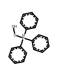 OO[PH](c1ccccc1)(c1ccccc1)c1ccccc1